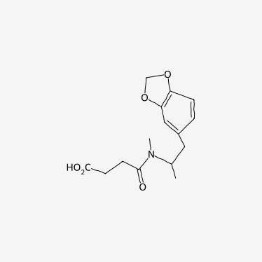 CC(Cc1ccc2c(c1)OCO2)N(C)C(=O)CCC(=O)O